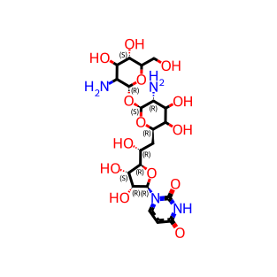 NC1C(O)[C@H](O)C(CO)O[C@@H]1O[C@@H]1O[C@H](C[C@@H](O)[C@H]2O[C@@H](n3ccc(=O)[nH]c3=O)[C@H](O)[C@@H]2O)C(O)C(O)[C@H]1N